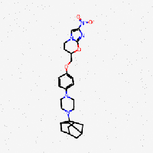 O=[N+]([O-])c1cn2c(n1)O[C@@H](COc1ccc(N3CCN(C4C5CC6CC(C5)CC4C6)CC3)cc1)CC2